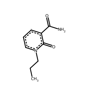 CCCn1cc[c]c(C(N)=O)c1=O